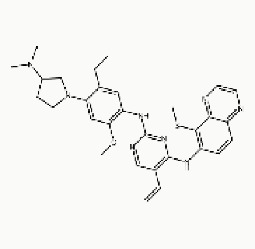 C=Cc1cnc(Nc2cc(CC)c(N3CCC(N(C)C)C3)cc2OC)nc1Nc1ccc2nccnc2c1SC